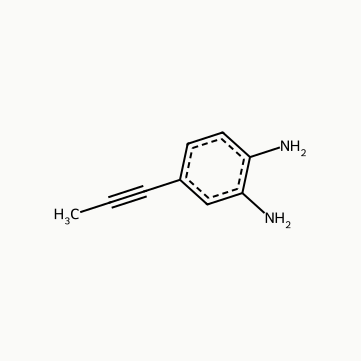 CC#Cc1ccc(N)c(N)c1